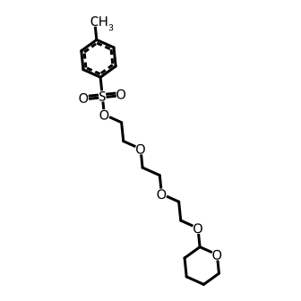 Cc1ccc(S(=O)(=O)OCCOCCOCCOC2CCCCO2)cc1